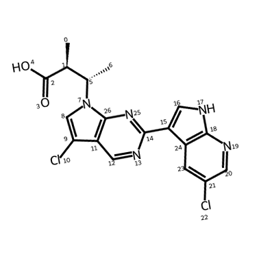 C[C@H](C(=O)O)[C@H](C)n1cc(Cl)c2cnc(-c3c[nH]c4ncc(Cl)cc34)nc21